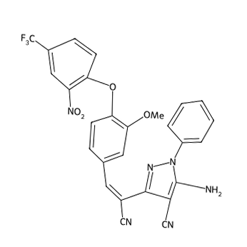 COc1cc(C=C(C#N)c2nn(-c3ccccc3)c(N)c2C#N)ccc1Oc1ccc(C(F)(F)F)cc1[N+](=O)[O-]